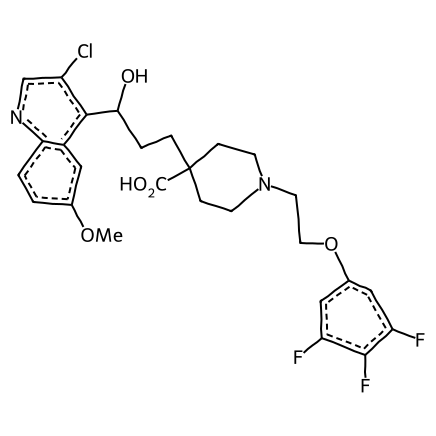 COc1ccc2ncc(Cl)c(C(O)CCC3(C(=O)O)CCN(CCOc4cc(F)c(F)c(F)c4)CC3)c2c1